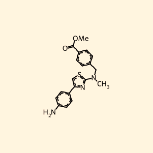 COC(=O)c1ccc(CN(C)c2nc(-c3ccc(N)cc3)cs2)cc1